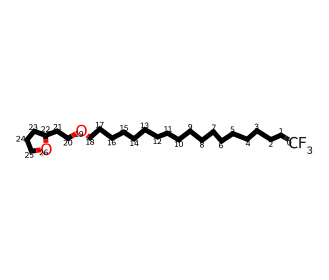 FC(F)(F)CCCCCCCCCCCCCCCCCCOCCC1CCCO1